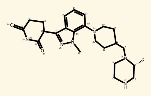 C[C@@H]1CNCCN1CC1CCN(c2cccc3c(C4CCC(=O)NC4=O)nn(C)c23)CC1